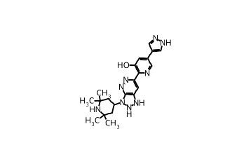 CC1(C)CC(N2NNc3cc(-c4ncc(-c5cn[nH]c5)cc4O)nnc32)CC(C)(C)N1